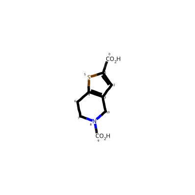 O=C(O)c1cc2c(s1)CCN(C(=O)O)C2